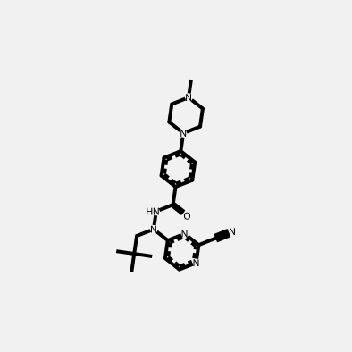 CN1CCN(c2ccc(C(=O)NN(CC(C)(C)C)c3ccnc(C#N)n3)cc2)CC1